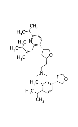 CCN(CCC1C[C@H](c2ccc(C(C)C)nc2CN(C)C(C)C)CO1)Cc1nc(C(C)C)ccc1[C@@H]1CCOC1